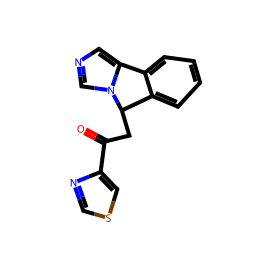 O=C(CC1c2ccccc2-c2cncn21)c1cscn1